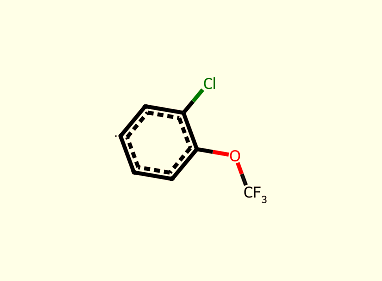 FC(F)(F)Oc1cc[c]cc1Cl